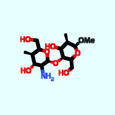 CO[C@H]1OC(CO)[C@@H](O[C@@H]2OC(CO)[C@H](C)[C@H](O)C2N)C(O)[C@H]1C